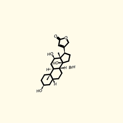 Br.C[C@]12CC[C@H](O)C[C@H]1CC[C@@H]1[C@@H]2C[C@@H](O)[C@]2(C)[C@@H](C3=CC(=O)OC3)CC[C@]12O